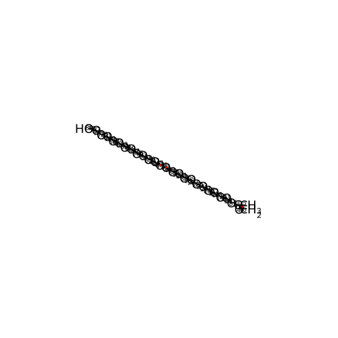 C=C(C)C(=O)OCCOCCOCCOCCOCCOCCOCCOCCOCCOCCOCCOCCOCCOCCOCCOCCOCCOCCOCCOCCOCCOCCOCCOCCOCCO